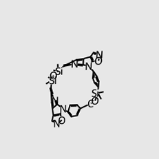 C[Si]1(C)OCc2ccc(cc2)-n2c3ncc(cc3c3cnoc32)[Si](C)(C)O[Si](C)(C)c2cnc3c(c2)c2cnoc2n3-c2ccc1cc2